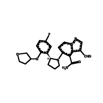 NC(=O)c1c(N2CCC[C@@H]2c2cc(F)ccc2OC2CCOC2)ccn2ncc([C]=O)c12